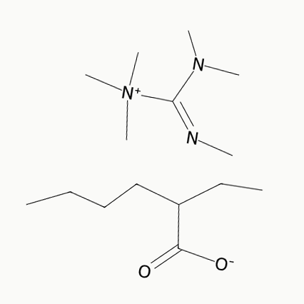 C/N=C(\N(C)C)[N+](C)(C)C.CCCCC(CC)C(=O)[O-]